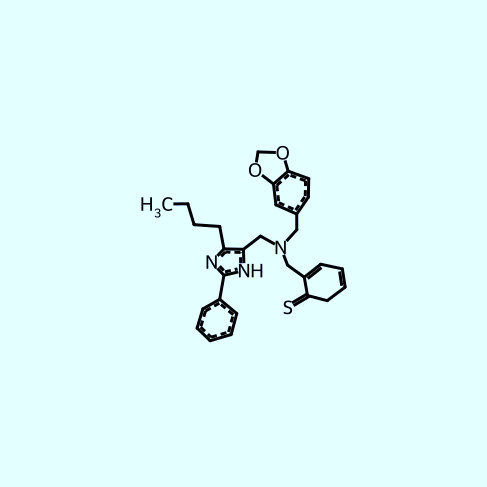 CCCCc1nc(-c2ccccc2)[nH]c1CN(CC1=CC=CCC1=S)Cc1ccc2c(c1)OCO2